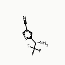 N#Cc1csc([C@H](N)C(F)(F)F)c1